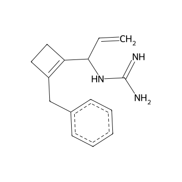 C=CC(NC(=N)N)C1=C(Cc2ccccc2)CC1